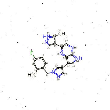 Cc1cc(F)ccc1Cn1cc(-c2c[nH]c3ncc(-c4cn[nH]c4C)nc23)cn1